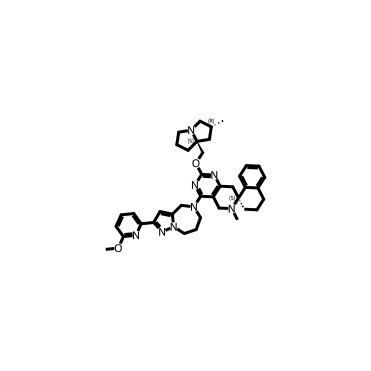 COc1cccc(-c2cc3n(n2)CCCN(c2nc(OC[C@@]45CCCN4C[C@H](C)C5)nc4c2CN(C)[C@@]2(CCCc5ccccc52)C4)C3)n1